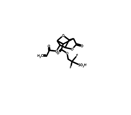 C=CC(=O)OC1C2OC(=O)C3C2OC1C3C(=O)OCC(F)(F)S(=O)(=O)O